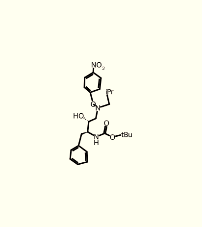 CC(C)CN(C[C@@H](O)[C@H](Cc1ccccc1)NC(=O)OC(C)(C)C)Oc1ccc([N+](=O)[O-])cc1